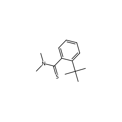 CN(C)C(=S)c1ccccc1C(C)(C)C